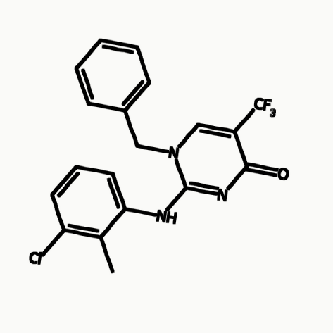 Cc1c(Cl)cccc1Nc1nc(=O)c(C(F)(F)F)cn1Cc1ccccc1